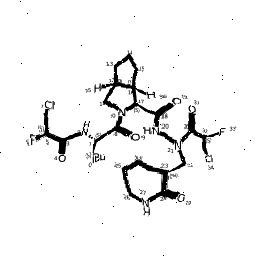 CC[C@H](C)[C@H](NC(=O)[C@@H](F)Cl)C(=O)N1C[C@@H]2CCC[C@@H]2[C@H]1C(=O)NN(C[C@@H]1CCCNC1=O)C(=O)[C@@H](F)Cl